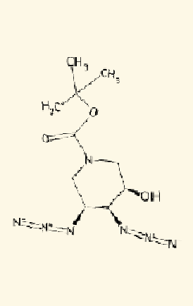 CC(C)(C)OC(=O)N1C[C@@H](O)[C@@H](N=[N+]=[N-])[C@@H](N=[N+]=[N-])C1